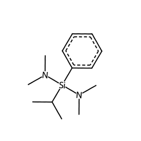 CC(C)[Si](c1ccccc1)(N(C)C)N(C)C